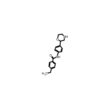 CCc1ccc(C(=O)Nc2ccc(C3CNCCO3)cc2)cc1